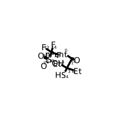 CCCCCC(=O)C(S)(CC)CC.O=S(=O)(O)C(F)(F)F